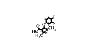 Cc1nn(C)c(Oc2ccc(F)c(F)c2)c1C(=O)O